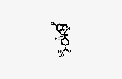 CONC(=O)N1CCC(C2(C)[C@H](O)c3cc(Cl)cc4cnn2c34)CC1